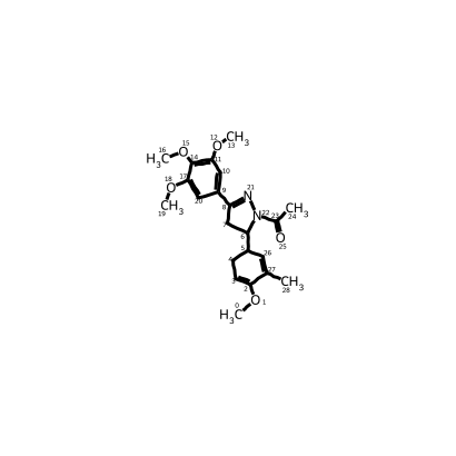 COC1=CCC(C2CC(c3cc(OC)c(OC)c(OC)c3)=NN2C(C)=O)C=C1C